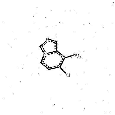 Nc1c(Cl)ccn2cncc12